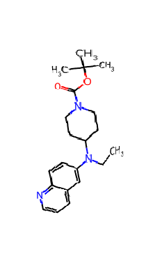 CCN(c1ccc2ncccc2c1)C1CCN(C(=O)OC(C)(C)C)CC1